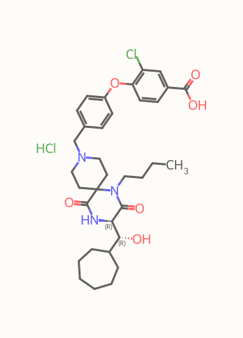 CCCCN1C(=O)[C@@H]([C@H](O)C2CCCCCC2)NC(=O)C12CCN(Cc1ccc(Oc3ccc(C(=O)O)cc3Cl)cc1)CC2.Cl